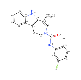 CCOC(=O)C1=CN(C(=O)Nc2cc(F)ccc2C)CCc2c1[nH]c1ccccc21